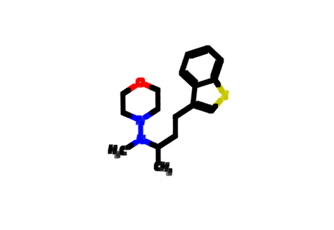 CC(CCc1csc2ccccc12)N(C)N1CCOCC1